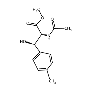 COC(=O)[C@@H](NC(C)=O)[C@H](O)c1ccc(C)cc1